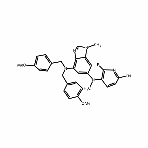 COc1ccc(CN(Cc2ccc(OC)cc2)c2cc(N(C)c3ccc(C#N)nc3F)cc3c2ncn3C)cc1